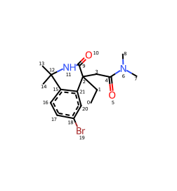 CCC1(CC(=O)N(C)C)C(=O)NC(C)(C)c2ccc(Br)cc21